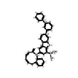 C=C1/C=C\C=C/Cc2ccccc2N1c1cc(B(O)O)c2sc3cc(-c4cccc(-c5ccccc5)c4)ccc3c2c1